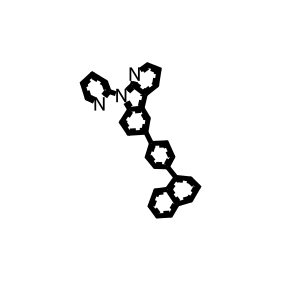 c1ccc(-n2c3ccc(-c4ccc(-c5cccc6ccccc56)cc4)cc3c3cccnc32)nc1